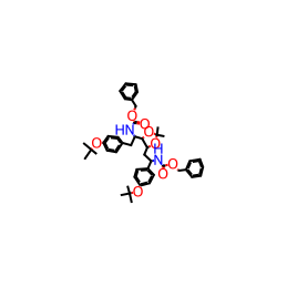 CC(C)(C)Oc1ccc(CC(NC(=O)OCc2ccccc2)C2OC(C)(C)OC2CC(NC(=O)OCc2ccccc2)c2ccc(OC(C)(C)C)cc2)cc1